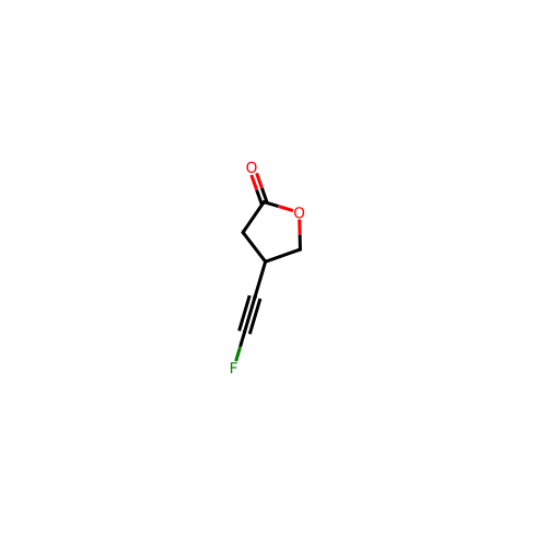 O=C1CC(C#CF)CO1